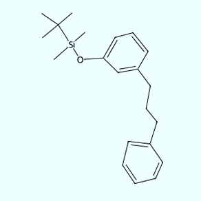 CC(C)(C)[Si](C)(C)Oc1cccc(CCCc2ccccc2)c1